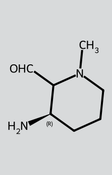 CN1CCC[C@@H](N)C1C=O